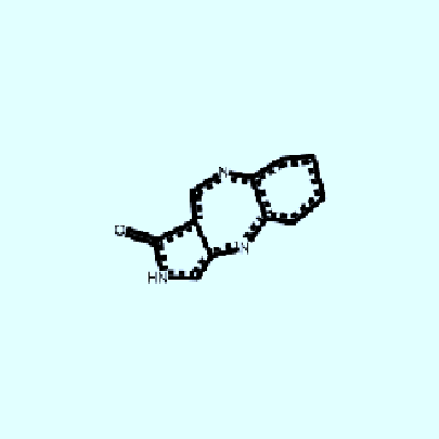 O=c1[nH]cc2nc3ccccc3ncc1-2